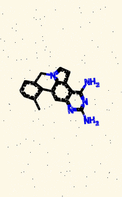 Cc1cccc2c1-c1cc3nc(N)nc(N)c3c3ccn(c13)C2